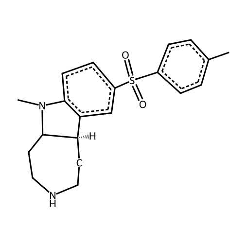 Cc1ccc(S(=O)(=O)c2ccc3c(c2)[C@H]2CCNCCC2N3C)cc1